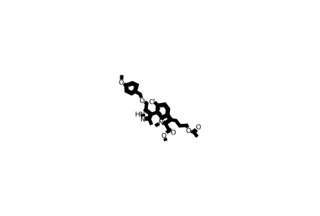 COC(=O)c1c(CCCOC(C)=O)c2ccc(Cl)c(-c3c(C)n[nH]c3COCc3ccc(OC)cc3)c2n1C